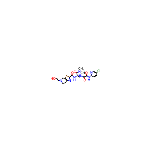 CN(C)C(=O)C(CNC(=O)C(=O)Nc1ccc(Cl)cn1)NC(=O)c1nc2c(s1)CN(CCO)CC2